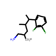 CC(CC(CN)C(=O)O)C(C)c1cccc(F)c1F